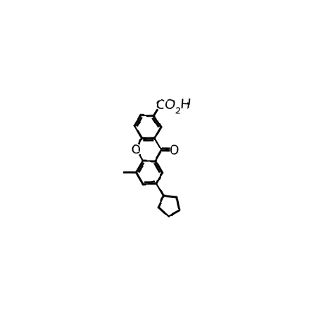 Cc1cc(C2CCCC2)cc2c(=O)c3cc(C(=O)O)ccc3oc12